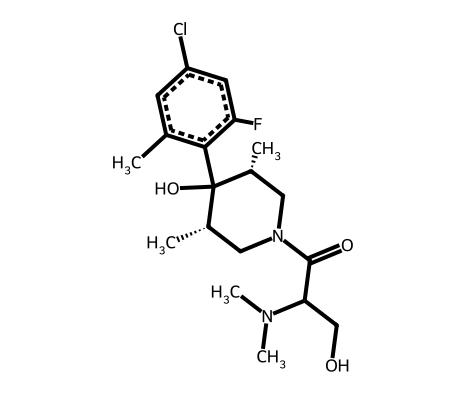 Cc1cc(Cl)cc(F)c1C1(O)[C@H](C)CN(C(=O)C(CO)N(C)C)C[C@@H]1C